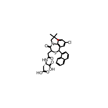 CC(C)(C)CN1C(=O)C(CC(=O)N[C@@H](CC(=O)O)C(=O)O)SC(c2cccc3ccccc23)c2cc(Cl)ccc21